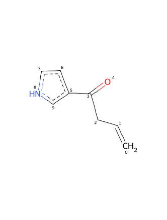 C=CCC(=O)c1cc[nH]c1